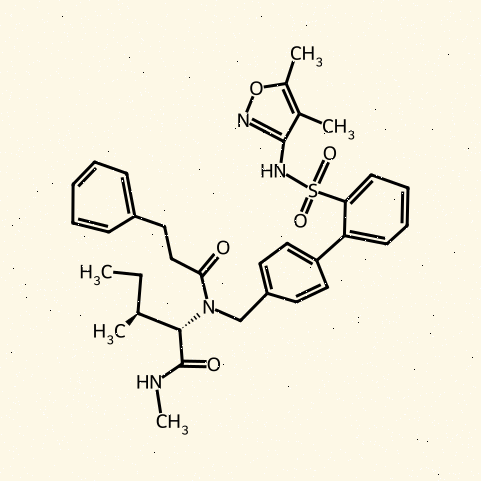 CC[C@H](C)[C@@H](C(=O)NC)N(Cc1ccc(-c2ccccc2S(=O)(=O)Nc2noc(C)c2C)cc1)C(=O)CCc1ccccc1